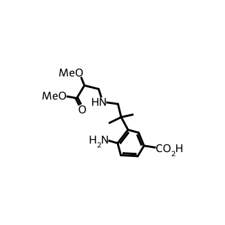 COC(=O)C(CNCC(C)(C)c1cc(C(=O)O)ccc1N)OC